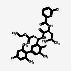 CCOC(=O)C[C@H](NC(=O)[C@H](CC(C)C)NC(=O)c1cccc(Cl)n1)c1cc(-c2c(C)cc(F)cc2C)cc(C)c1F